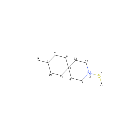 CSN1CCC2(CCC(C)CC2)CC1